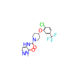 Cn1nccc(NC(=O)N2CCC(Oc3cc(C(F)(F)F)ccc3Cl)CC2)c1=O